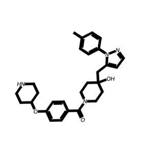 Cc1ccc(-n2nccc2CC2(O)CCN(C(=O)c3ccc(OC4CCNCC4)cc3)CC2)cc1